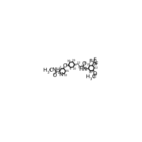 CNC(=O)c1cc(Oc2ccc(CCC(=O)Nc3cc(OC)cc(C(F)(F)F)c3)cc2)ccn1